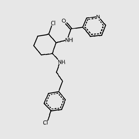 O=C(NC1C(Cl)CCCC1NCCc1ccc(Cl)cc1)c1cccnc1